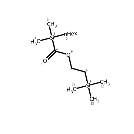 CCCCCC[Si](C)(C)C(=O)OCC[Si](C)(C)C